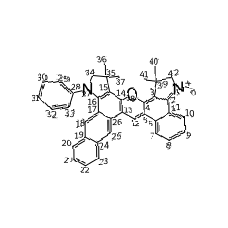 C[N+]1=c2c(c3c(c4ccccc24)=Cc2c(c4c(c5cc6ccccc6cc25)N(c2ccccc2)CC4(C)C)O3)C(C)(C)C1